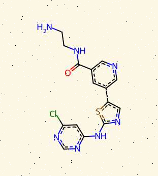 NCCNC(=O)c1cncc(-c2cnc(Nc3cc(Cl)ncn3)s2)c1